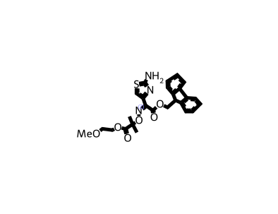 COCCOC(=O)C(C)(C)O/N=C(\C(=O)OCC1c2ccccc2-c2ccccc21)c1csc(N)n1